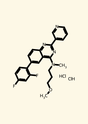 COCCCN(C)c1nc(-c2cccnc2)nc2ccc(-c3ccc(F)cc3F)cc12.Cl.Cl